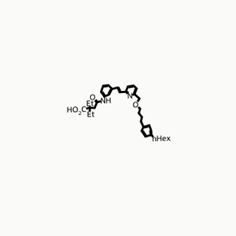 CCCCCCc1ccc(CCCCOCc2cccc(C=Cc3cccc(NC(=O)CC(CC)(CC)C(=O)O)c3)n2)cc1